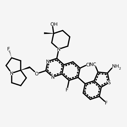 C[C@@]1(O)CCCN(c2nc(OC[C@@]34CCCN3C[C@H](F)C4)nc3c(F)c(-c4ccc(F)c5sc(N)c(C#N)c45)c(Cl)cc23)C1